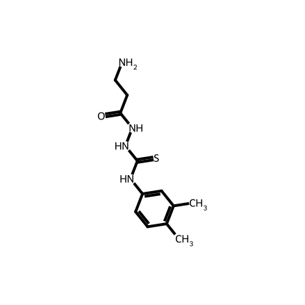 Cc1ccc(NC(=S)NNC(=O)CCN)cc1C